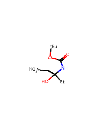 CCC(O)(CS(=O)(=O)O)NC(=O)OC(C)(C)C